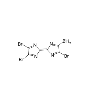 BC1=NC(=C2N=C(Br)C(Br)=N2)N=C1Br